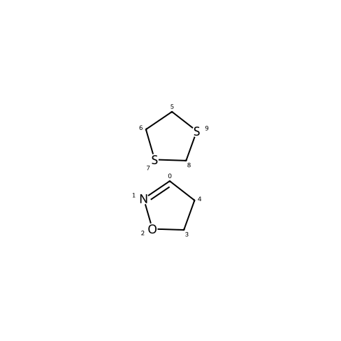 C1=NOCC1.C1CSCS1